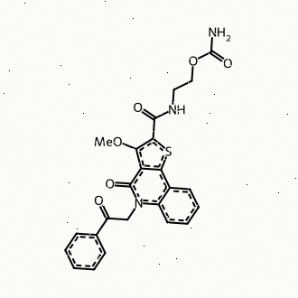 COc1c(C(=O)NCCOC(N)=O)sc2c1c(=O)n(CC(=O)c1ccccc1)c1ccccc21